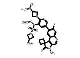 COC1CN(S(=O)(=O)N(OC=O)c2cc(-c3cc4c5c(cnc4cc3F)N(C)C(=O)C53CCC3)cnc2N2CC(N(C)C)C2)C1